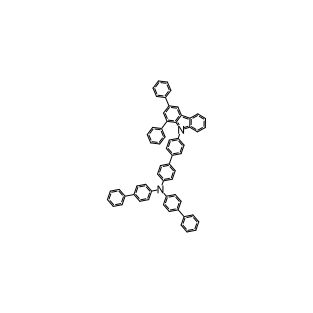 c1ccc(-c2ccc(N(c3ccc(-c4ccccc4)cc3)c3ccc(-c4ccc(-n5c6ccccc6c6cc(-c7ccccc7)cc(-c7ccccc7)c65)cc4)cc3)cc2)cc1